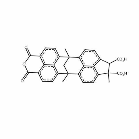 CC12CC(C)(c3ccc4c5c(ccc1c35)C(=O)OC4=O)c1ccc3c4c(ccc2c14)C(C(=O)O)C3(C)C(=O)O